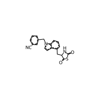 N#Cc1cccc(Cn2ccc3c(CC4NC(=O)SC4=O)cccc32)c1